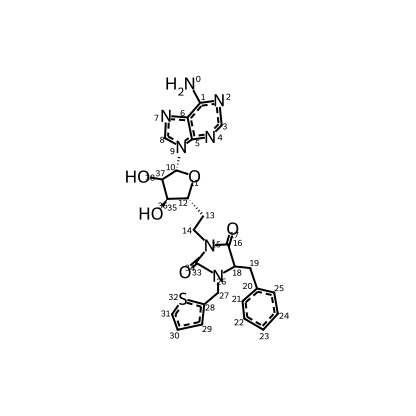 Nc1ncnc2c1ncn2[C@@H]1O[C@H](CCN2C(=O)C(Cc3ccccc3)N(Cc3cccs3)C2=O)[C@@H](O)C1O